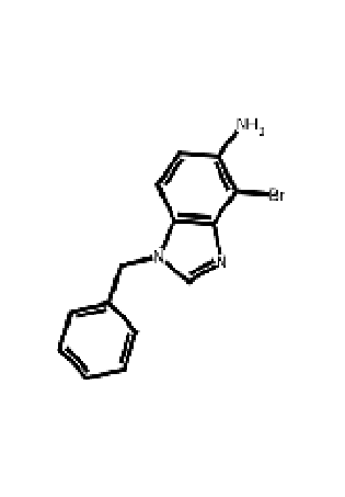 Nc1ccc2c(ncn2Cc2ccccc2)c1Br